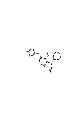 Cc1ccc(Nc2ccc3c4c(cc(=O)n3C)-c3ccccc3C(=O)c24)c(C)c1